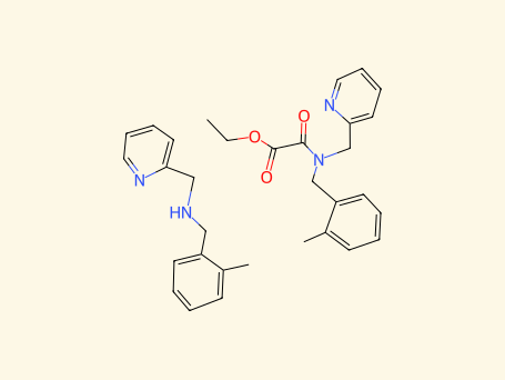 CCOC(=O)C(=O)N(Cc1ccccn1)Cc1ccccc1C.Cc1ccccc1CNCc1ccccn1